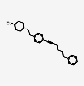 CC[C@H]1CC[C@H](CCc2ccc(C#CCCCCc3ccccc3)cc2)CC1